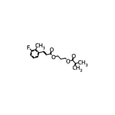 C=C(C)C(=O)OCCCOC(=O)/C=C/c1cccc(F)c1C